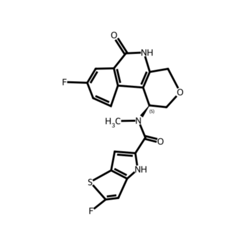 CN(C(=O)c1cc2sc(F)cc2[nH]1)[C@@H]1COCc2[nH]c(=O)c3cc(F)ccc3c21